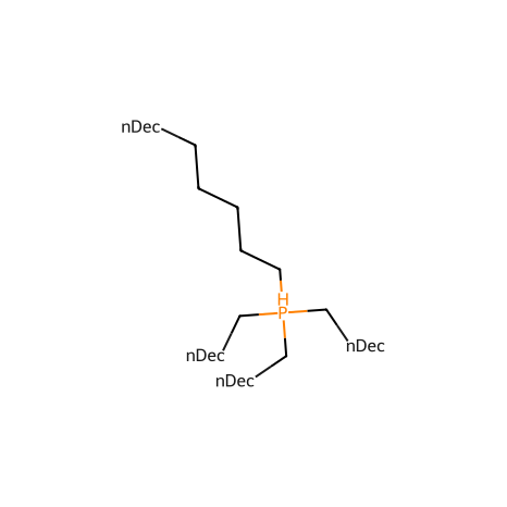 CCCCCCCCCCCCCCC[PH](CCCCCCCCCCC)(CCCCCCCCCCC)CCCCCCCCCCC